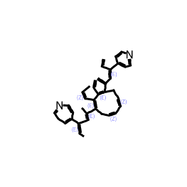 C=C/C(=C\C(=C)/C1=C(C=C)/C(/C=C\C)=C(/C(C)=C/C(=C\C)C2=CCC=NC=C2)C/C=C\C=C/C1)c1ccncc1